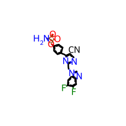 N#Cc1cnc(Cn2cnc3cc(F)c(F)cc32)nc1-c1ccc(OS(N)(=O)=O)cc1